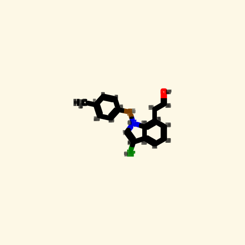 Cc1ccc(Sn2cc(Br)c3cccc(CC=O)c32)cc1